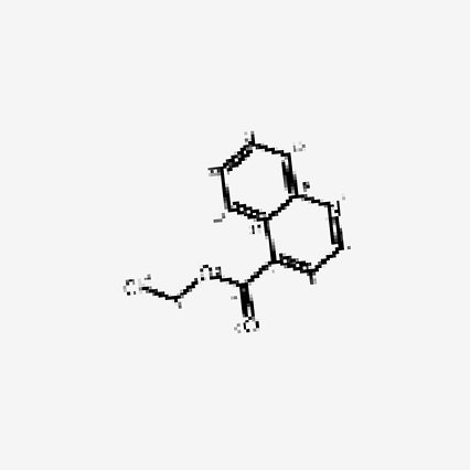 O=C(OCCl)c1ccnc2ccccc12